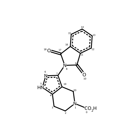 O=C(O)N1CCc2[nH]nc(N3C(=O)c4ccccc4C3=O)c2C1